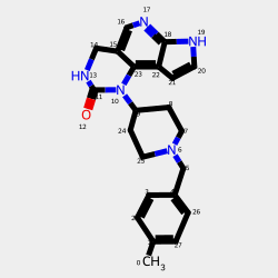 Cc1ccc(CN2CCC(N3C(=O)NCc4cnc5[nH]ccc5c43)CC2)cc1